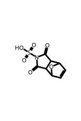 O=C1C2C3C=CC(O3)C2C(=O)N1S(=O)(=O)O